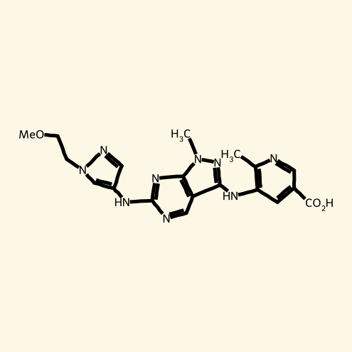 COCCn1cc(Nc2ncc3c(Nc4cc(C(=O)O)cnc4C)nn(C)c3n2)cn1